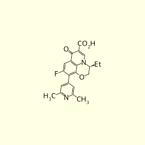 CC[C@H]1COc2c(-c3cc(C)nc(C)c3)c(F)cc3c(=O)c(C(=O)O)cn1c23